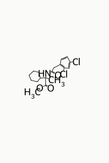 COC(=O)C(C)(NC(=O)Cc1ccc(Cl)cc1Cl)C1CCCCC1